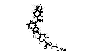 COCCOC(=O)C1CC=C(c2cc3c(Nc4ccc5[nH]ncc5c4)ncnc3[nH]2)CC1